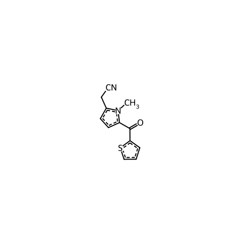 Cn1c(CC#N)ccc1C(=O)c1cccs1